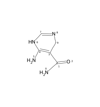 NC(=O)C1=C(N)NC=NC1